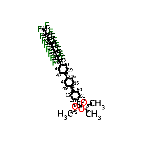 CCO[Si](OCC)(OCC)c1ccc(-c2ccc(-c3ccc(C(F)(F)C(F)(F)C(F)(F)C(F)(F)C(F)(F)C(F)(F)C(F)(F)C(F)F)cc3)cc2)cc1